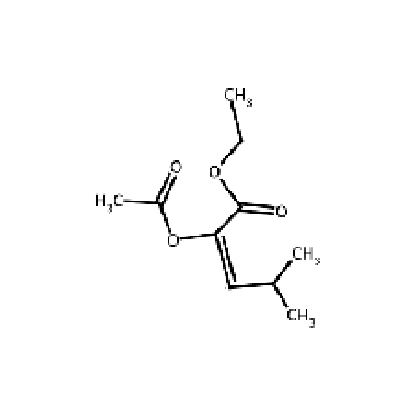 CCOC(=O)/C(=[C]\C(C)C)OC(C)=O